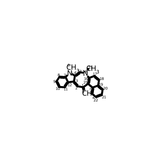 C=C1/C=c2\c(n(C)c3ccccc23)=C/N(C)c2ccc3ccccc3c21